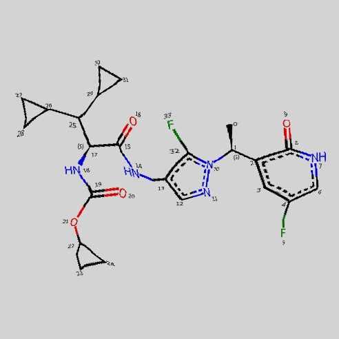 C[C@@H](c1cc(F)c[nH]c1=O)n1ncc(NC(=O)[C@@H](NC(=O)OC2CC2)C(C2CC2)C2CC2)c1F